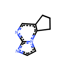 c1cn2c3c(cnc2n1)CCC3